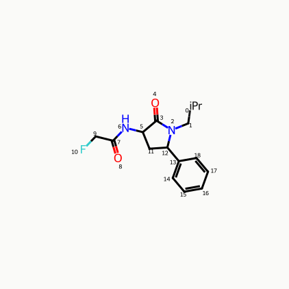 CC(C)CN1C(=O)C(NC(=O)CF)CC1c1ccccc1